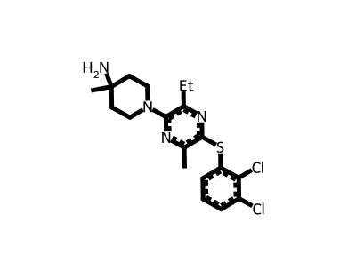 CCc1nc(Sc2cccc(Cl)c2Cl)c(C)nc1N1CCC(C)(N)CC1